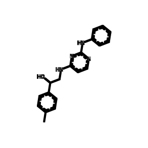 Cc1ccc(C(O)CNc2ccnc(Nc3ccccc3)n2)cc1